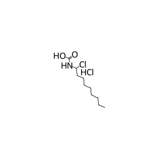 CCCCCCCCC(Cl)NC(=O)O.Cl